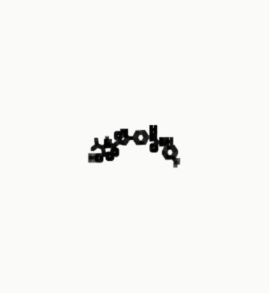 CC(C)C(C(=O)O)N(C)C(=O)c1cc(-c2ccc(NC(=O)Nc3ccc(F)cc3)cc2)no1